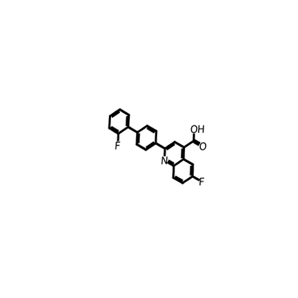 O=C(O)c1cc(-c2ccc(-c3ccccc3F)cc2)nc2ccc(F)cc12